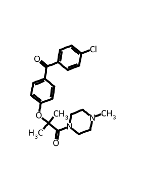 CN1CCN(C(=O)C(C)(C)Oc2ccc(C(=O)c3ccc(Cl)cc3)cc2)CC1